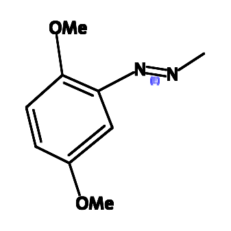 C/N=N/c1cc(OC)ccc1OC